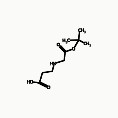 CC(C)(C)OC(=O)CNCCC(=O)O